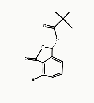 CC(C)(C)C(=O)O[C@H]1OC(=O)c2c(Br)cccc21